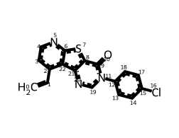 C=Cc1ccnc2sc3c(=O)n(-c4ccc(Cl)cc4)cnc3c12